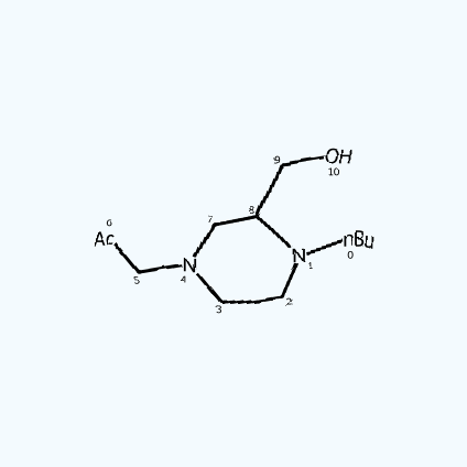 CCCCN1CCN(CC(C)=O)CC1CO